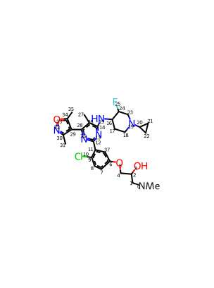 CNCC(O)COc1ccc(Cl)c(-c2nc(NC3CCN(C4CC4)CC3F)c(C)c(-c3c(C)noc3C)n2)c1